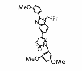 COc1cc(CN2N=C(c3ccc4c(c3)nc(-c3cccc(OC)c3)n4CC(C)C)CSC2=O)cc(OC)c1